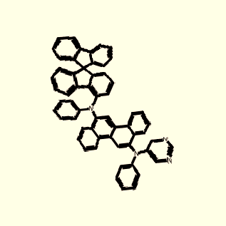 c1ccc(N(c2cncnc2)c2cc3c4ccccc4c(N(c4ccccc4)c4cccc5c4-c4ccccc4C54c5ccccc5-c5ccccc54)cc3c3ccccc23)cc1